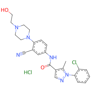 Cc1c(C(=O)Nc2ccc(N3CCN(CCO)CC3)c(C#N)c2)cnn1-c1ccccc1Cl.Cl